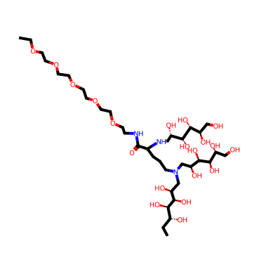 CCOCCOCCOCCOCCOCCNC(=O)C(CCCN(C[C@H](O)[C@@H](O)[C@H](O)[C@H](O)CC)C[C@H](O)[C@@H](O)[C@H](O)[C@H](O)CO)NC[C@H](O)[C@@H](O)[C@H](O)[C@H](O)CO